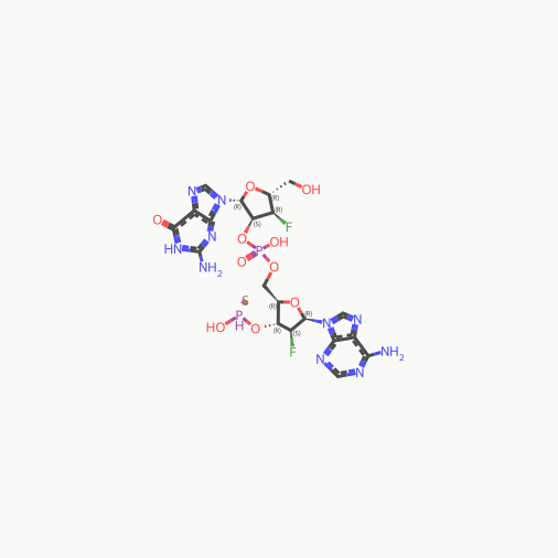 Nc1nc2c(ncn2[C@@H]2O[C@H](CO)[C@@H](F)[C@H]2OP(=O)(O)OC[C@H]2O[C@@H](n3cnc4c(N)ncnc43)[C@@H](F)[C@@H]2O[PH](O)=S)c(=O)[nH]1